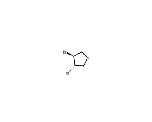 Br[C@H]1C[N]C[C@@H]1Br